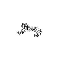 COc1ccc(C(N2CCC2)C(F)(F)F)c(N2CCC(COc3cc(C(CC(=O)O)C4CC4)ccn3)CC2)c1